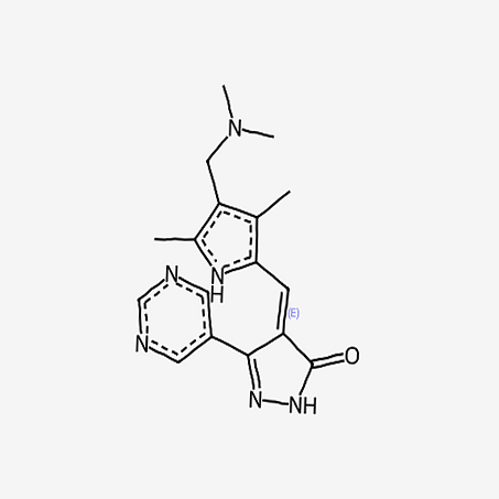 Cc1[nH]c(/C=C2/C(=O)NN=C2c2cncnc2)c(C)c1CN(C)C